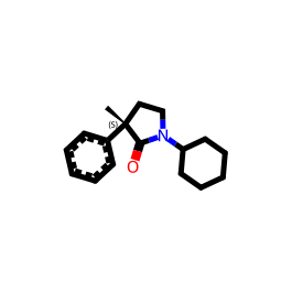 C[C@@]1(c2ccccc2)CCN(C2CCCCC2)C1=O